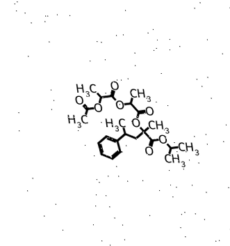 CC(=O)OC(C)C(=O)OC(C)C(=O)OC(C)(CC(C)c1ccccc1)C(=O)OC(C)C